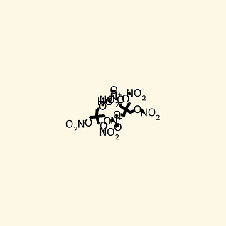 O=[N+]([O-])OCC(CO[N+](=O)[O-])(CO[N+](=O)[O-])CO[N+](=O)OCC(CO[N+](=O)[O-])(CO[N+](=O)[O-])CO[N+](=O)O